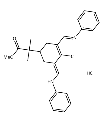 COC(=O)C(C)(C)C1CC(/C=N/c2ccccc2)=C(Cl)C(=C/Nc2ccccc2)/C1.Cl